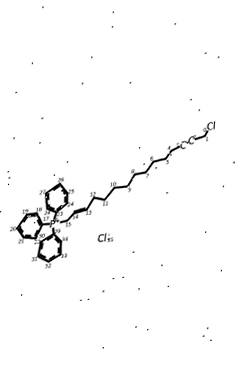 ClCCCCCCCCCCCCC=CC[P+](c1ccccc1)(c1ccccc1)c1ccccc1.[Cl-]